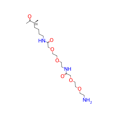 CC(=O)[C@@H](C)CCCCNC(=O)COCCOCCNC(=O)COCCOCCN